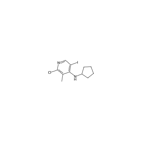 Cc1c(Cl)ncc(I)c1NC1CCCC1